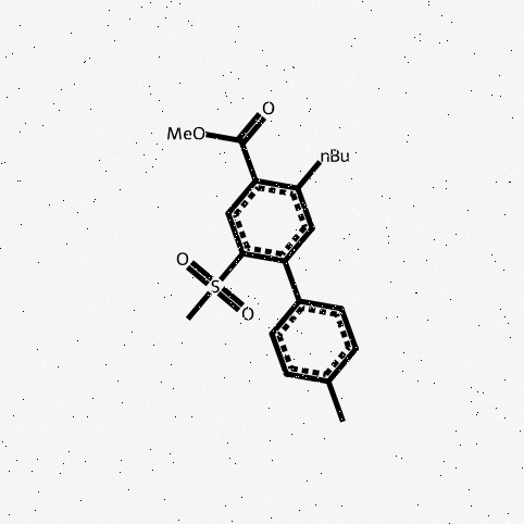 CCCCc1cc(-c2ccc(C)cc2)c(S(C)(=O)=O)cc1C(=O)OC